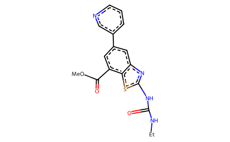 CCNC(=O)Nc1nc2cc(-c3cccnc3)cc(C(=O)OC)c2s1